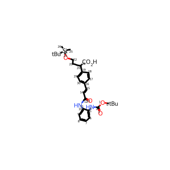 CC(C)(C)OC(=O)Nc1ccccc1NC(=O)/C=C/c1ccc(C(CCO[Si](C)(C)C(C)(C)C)C(=O)O)cc1